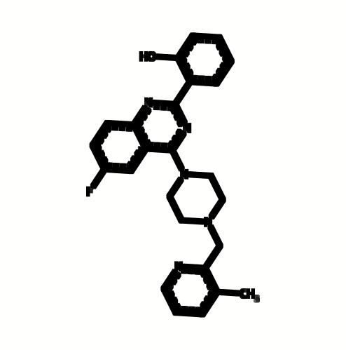 Cc1cccnc1CN1CCN(c2nc(-c3ccccc3O)nc3ccc(F)cc23)CC1